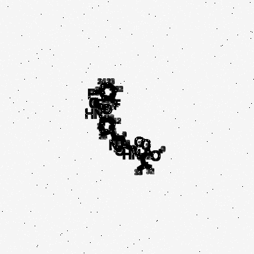 COC(=O)[C@H](NC(=O)c1cc(-c2ccc(NS(=O)(=O)c3c(F)cccc3F)cc2)no1)C(C)C